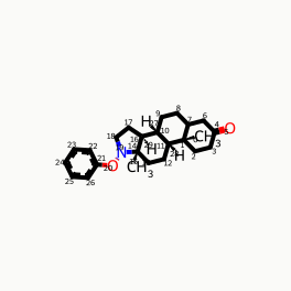 C[C@]12CCC(=O)CC1CC[C@@H]1[C@H]2CC[C@@]2(C)[C@H]1CCN2Oc1ccccc1